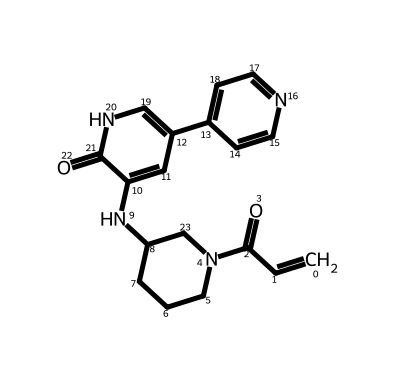 C=CC(=O)N1CCCC(Nc2cc(-c3ccncc3)c[nH]c2=O)C1